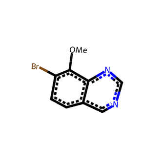 COc1c(Br)ccc2[c]ncnc12